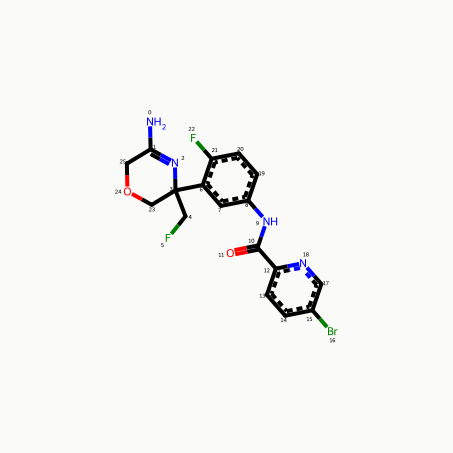 NC1=NC(CF)(c2cc(NC(=O)c3ccc(Br)cn3)ccc2F)COC1